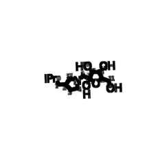 CC(C)CC1CCN(C[C@]2(O)OC(CO)C(O)C2O)C1